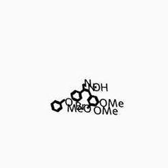 COc1cc(-c2c(-c3ccc(OCc4ccccc4)c(Br)c3)cnn2O)cc(OC)c1OC